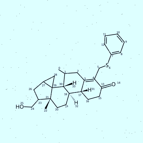 CC1CC2=C(CSc3ccccc3)C(=O)CC[C@@H]2[C@H]2CC[C@]3(C)C(CO)CC4CC43[C@H]12